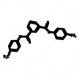 Cc1ccc(OC(=S)c2cccc(C(=S)Oc3ccc(C)cc3)c2)cc1